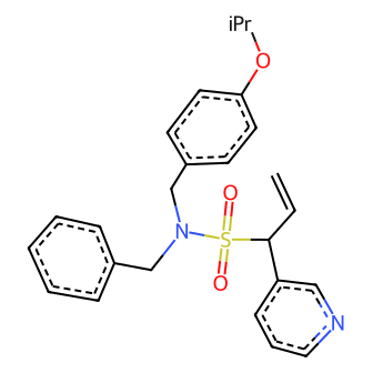 C=CC(c1cccnc1)S(=O)(=O)N(Cc1ccccc1)Cc1ccc(OC(C)C)cc1